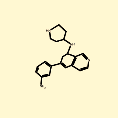 Nc1cccc(C2=Cc3ccncc3C(NC3CCNCC3)C2)c1